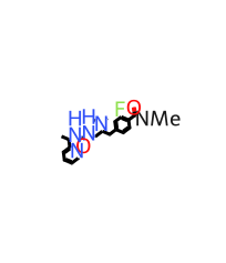 CNC(=O)c1ccc(CC(CNC(=O)NC(C)c2ccccn2)N(C)C)cc1F